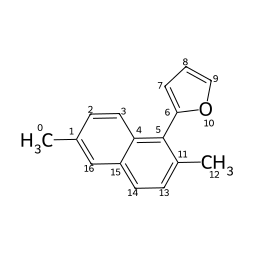 Cc1ccc2c(-c3ccco3)c(C)ccc2c1